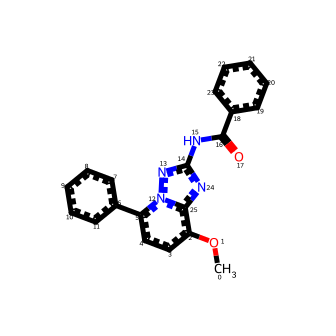 COc1ccc(-c2ccccc2)n2nc(NC(=O)c3ccccc3)nc12